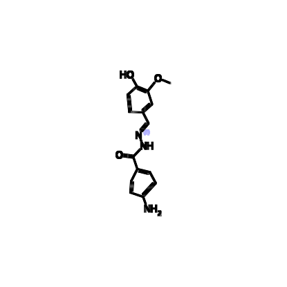 COc1cc(/C=N/NC(=O)c2ccc(N)cc2)ccc1O